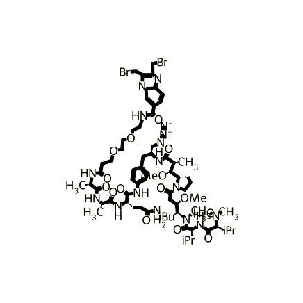 CC[C@H](C)[C@@H]([C@@H](CC(=O)N1CCC[C@H]1[C@H](OC)[C@@H](C)C(=O)N[C@H](CN=[N+]=[N-])Cc1ccc(NC(=O)[C@H](CCC(N)=O)NC(=O)[C@H](C)NC(=O)[C@H](C)NC(=O)CCOCCOCCNC(=O)c2ccc3nc(CBr)c(CBr)nc3c2)cc1)OC)N(C)C(=O)[C@@H](NC(=O)[C@H](C(C)C)N(C)C)C(C)C